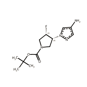 CC(C)(C)OC(=O)N1C[C@@H](n2cc(N)cn2)[C@@H](F)C1